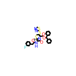 O=C(Cc1cccc(F)c1)N[C@@H]1C(=O)N2C(C(=O)OC(c3ccccc3)c3ccccc3)=C(Sc3nncs3)CS[C@@H]12